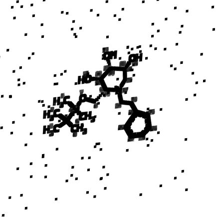 CC(C)(C)[Si](C)(C)OC[C@@H]1[C@@H](O)[C@H](O)[C@@H](O)CN1CCc1ccccc1